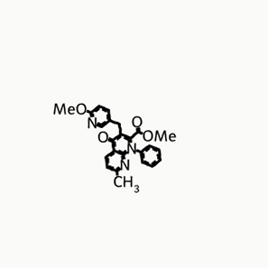 COC(=O)c1c(Cc2ccc(OC)nc2)c(=O)c2ccc(C)nc2n1-c1ccccc1